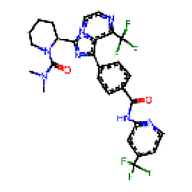 CN(C)C(=O)N1CCCCC1c1nc(-c2ccc(C(=O)Nc3cc(C(F)(F)F)ccn3)cc2)c2c(C(F)(F)F)nccn12